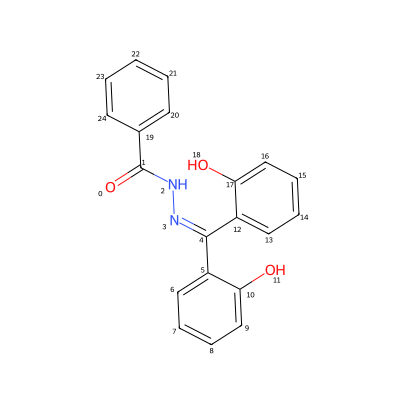 O=C(NN=C(c1ccccc1O)c1ccccc1O)c1ccccc1